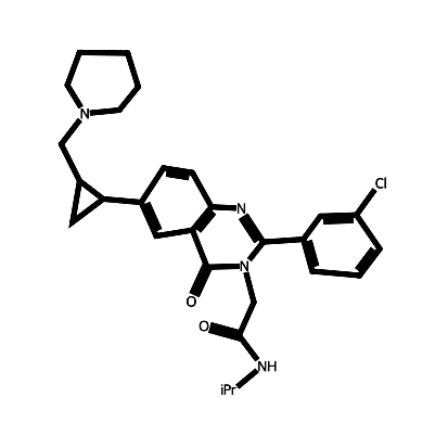 CC(C)NC(=O)Cn1c(-c2cccc(Cl)c2)nc2ccc(C3CC3CN3CCCCC3)cc2c1=O